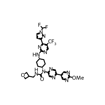 COc1ncc(-c2cnc(N(C(=O)NCC3COC3)[C@H]3CC[C@H](Nc4ncc(C(F)(F)F)c(-c5ccn(C(F)F)n5)n4)CC3)cn2)cn1